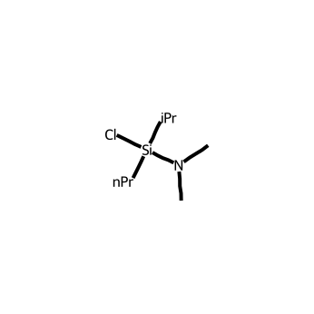 CCC[Si](Cl)(C(C)C)N(C)C